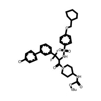 CC(C)(C)OC(=O)NC1CCN(C(=O)C(NS(=O)(=O)c2ccc(OCC3CCCCC3)cc2)C(F)(F)c2cccc(-c3ccc(Cl)cc3)c2)CC1